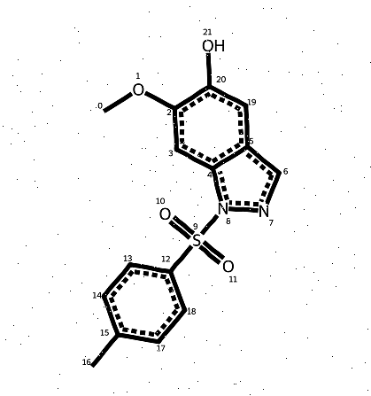 COc1cc2c(cnn2S(=O)(=O)c2ccc(C)cc2)cc1O